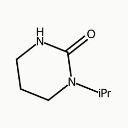 CC(C)N1CCCNC1=O